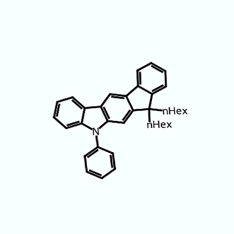 CCCCCCC1(CCCCCC)c2ccccc2-c2cc3c4ccccc4n(-c4ccccc4)c3cc21